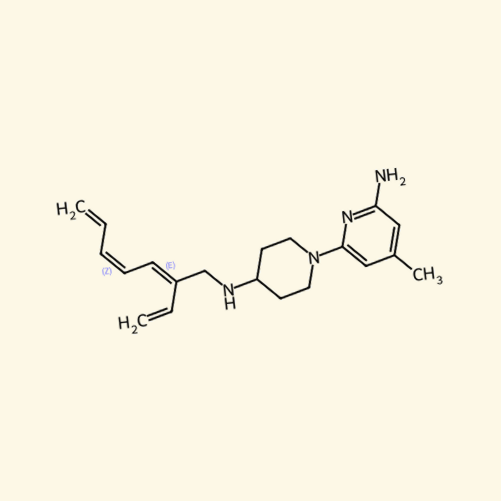 C=C/C=C\C=C(/C=C)CNC1CCN(c2cc(C)cc(N)n2)CC1